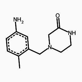 Cc1ccc(N)cc1CN1CCNC(=O)C1